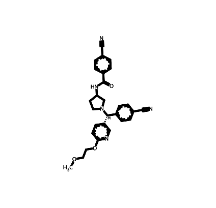 COCCOc1ccc([C@@H](c2ccc(C#N)cc2)N2CCC(NC(=O)c3ccc(C#N)cc3)C2)cn1